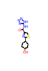 O=C(Nc1nnn[nH]1)c1csc(-c2ccc(O)cc2)n1